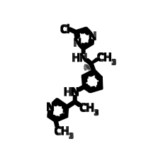 Cc1cncc(C(C)Nc2cccc([C@H](C)Nc3cncc(Cl)n3)c2)c1